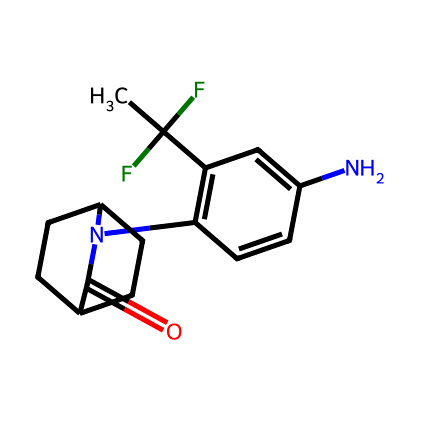 CC(F)(F)c1cc(N)ccc1N1C(=O)C2CCC1CC2